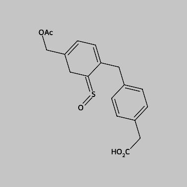 CC(=O)OCC1=CC=C(Cc2ccc(CC(=O)O)cc2)C(=S=O)C1